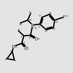 CC(C(=O)OC1CC1)C(=O)N(c1ccc(F)cc1)C(C)C